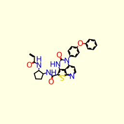 C=CC(=O)N[C@@H]1CCCC1NC(=O)c1sc2nccc3c2c1NC(=O)N3c1ccc(Oc2ccccc2)cc1